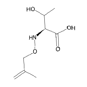 C=C(C)CON[C@H](C(=O)O)C(C)O